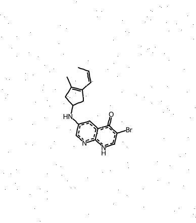 C/C=C\C1=C(C)CC(Nc2cnc3[nH]cc(Br)c(=O)c3c2)C1